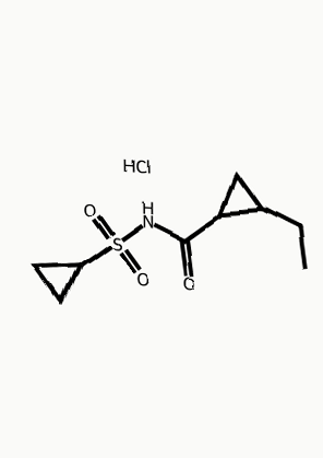 CCC1CC1C(=O)NS(=O)(=O)C1CC1.Cl